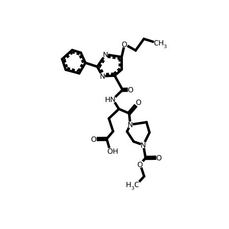 CCCOc1cc(C(=O)NC(CCC(=O)O)C(=O)N2CCN(C(=O)OCC)CC2)nc(-c2ccccc2)n1